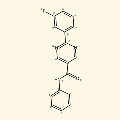 O=C(Nc1ccccc1)c1cnc(-c2cccc(F)c2)nc1